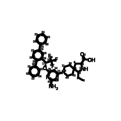 CCC1NC(C(=O)O)CC12CCN(c1cc(O[C@H](c3cc(-c4ccccc4)ccc3-c3ccccc3)C(F)(F)F)nc(N)n1)CC2